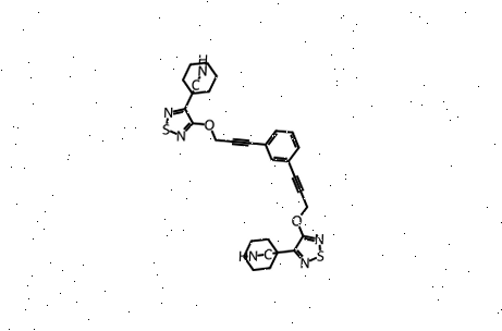 C(#Cc1cccc(C#CCOc2nsnc2C23CCC(CC2)NC3)c1)COc1nsnc1C12CCC(CC1)NC2